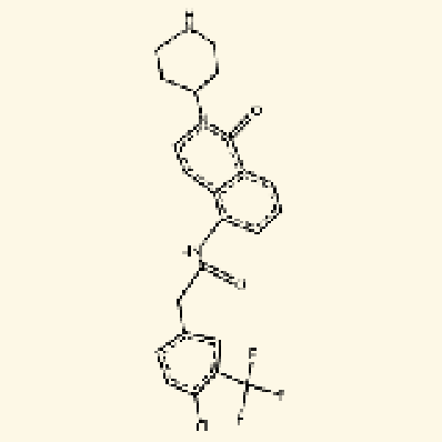 O=C(Cc1ccc(Cl)c(C(F)(F)F)c1)Nc1cccc2c(=O)n(C3CCNCC3)ccc12